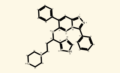 c1ccc(-c2cc3nnc(-c4ccccc4)n3nc2OC(CCN2CCOCC2)c2nc[nH]n2)cc1